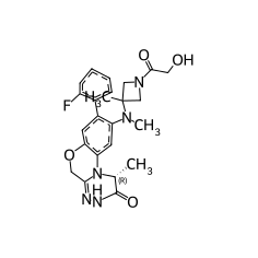 C[C@@H]1C(=O)NN=C2COc3cc(-c4ccccc4F)c(N(C)C4(C)CN(C(=O)CO)C4)cc3N21